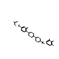 CCCCCC1COC(c2ccc(C3CCC(C4CCC(C(F)(F)Oc5cc(F)c(C(F)(F)F)c(F)c5)CC4)CC3)c(F)c2)OC1